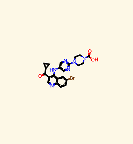 O=C(c1cnc2ccc(Br)cc2c1Nc1cnc(N2CCN(C(=O)O)CC2)nc1)C1CC1